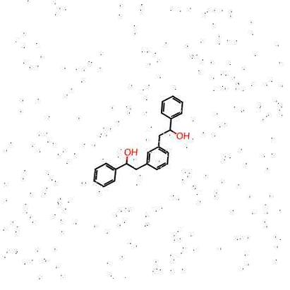 OC(Cc1cccc(CC(O)c2ccccc2)c1)c1ccccc1